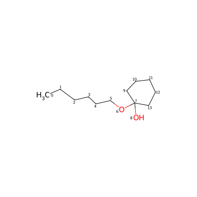 CCCCCCOC1(O)CCCCC1